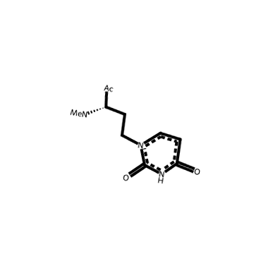 CN[C@@H](CCn1ccc(=O)[nH]c1=O)C(C)=O